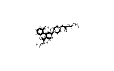 CCOC(=O)CN1CCN(c2cc(-c3ccccc3C)c(C(=O)NC)cn2)CC1